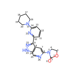 O=C1OCCN1c1cc2c(-c3cccc(N4CCCCC4)n3)n[nH]c2cn1